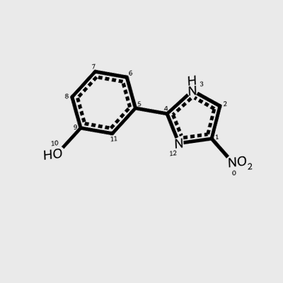 O=[N+]([O-])c1c[nH]c(-c2cccc(O)c2)n1